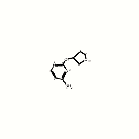 Nc1ccnc(OC2CCOC2)n1